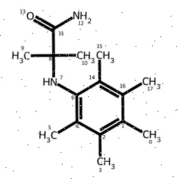 Cc1c(C)c(C)c(NC(C)(C)C(N)=O)c(C)c1C